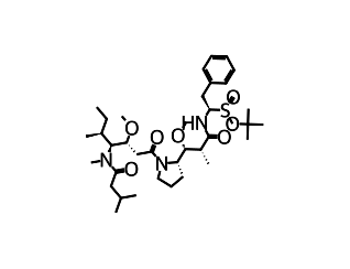 CC[C@H](C)[C@@H]([C@@H](CC(=O)N1CCC[C@H]1[C@H](OC)[C@@H](C)C(=O)N[C@@H](Cc1ccccc1)S(=O)OC(C)(C)C)OC)N(C)C(=O)CC(C)C